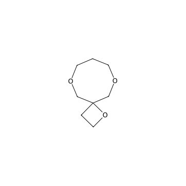 C1COCC2(CCO2)COC1